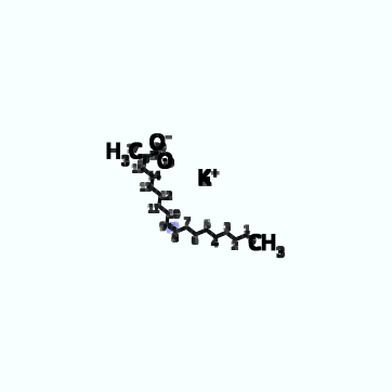 CCCCCCCC/C=C\CCCCCCC(C)C(=O)[O-].[K+]